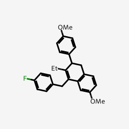 CCC1=C(Cc2ccc(F)cc2)c2cc(OC)ccc2CC1c1ccc(OC)cc1